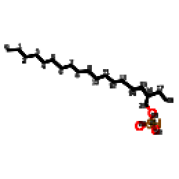 CCCCCCCCCCCCCCCCC(CC)CO[SH](=O)=O